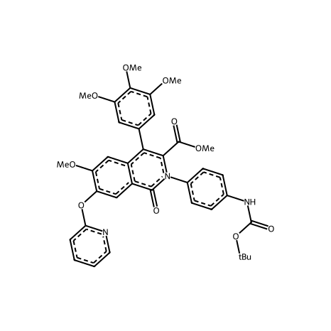 COC(=O)c1c(-c2cc(OC)c(OC)c(OC)c2)c2cc(OC)c(Oc3ccccn3)cc2c(=O)n1-c1ccc(NC(=O)OC(C)(C)C)cc1